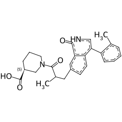 Cc1ccccc1-c1c[nH]c(=O)c2cc(CC(C)C(=O)N3CCC[C@H](C(=O)O)C3)ccc12